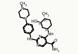 C[C@@H]1CC[C@@H](Nc2nc(Nc3ccc(N4CCN(C)CC4)cc3)ncc2C(N)=O)C[C@H]1O